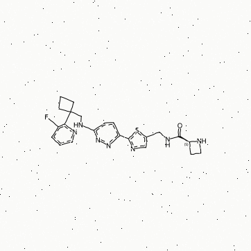 O=C(NCc1cnc(-c2ccc(NCC3(c4ncccc4F)CCC3)nn2)s1)[C@@H]1CCN1